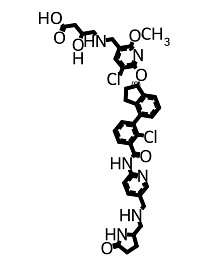 COc1nc(O[C@H]2CCc3c(-c4cccc(C(=O)Nc5ccc(CNCC6CCC(=O)N6)cn5)c4Cl)cccc32)c(Cl)cc1CNCC(O)CC(=O)O